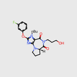 CCCCn1c(Oc2cccc(F)c2)nc2c1C(=O)N(CCCO)C(=O)[C@@H]1CCCN21